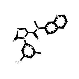 Cc1cc(C(F)(F)F)cc(N2C(=O)OC[C@H]2C(=O)N(C)c2ccc3cccnc3c2)n1